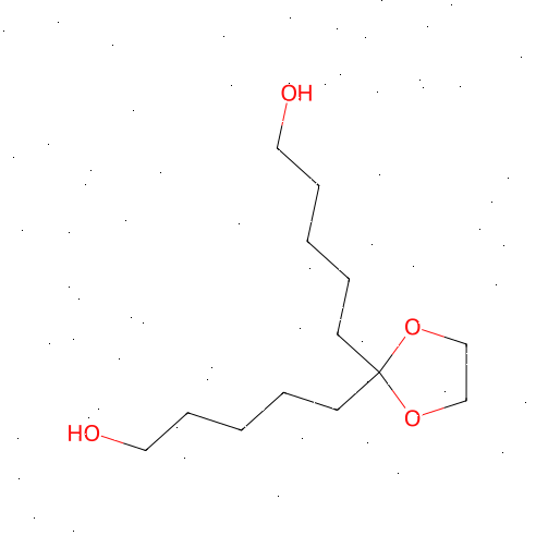 OCCCCCC1(CCCCCO)OCCO1